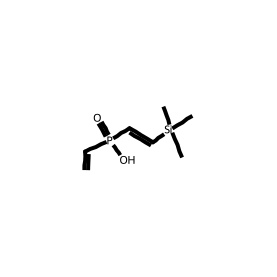 C=CP(=O)(O)C=C[Si](C)(C)C